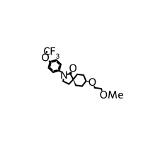 COCCO[C@H]1CC[C@]2(CCN(c3ccc(OC(F)(F)F)cc3)C2=O)CC1